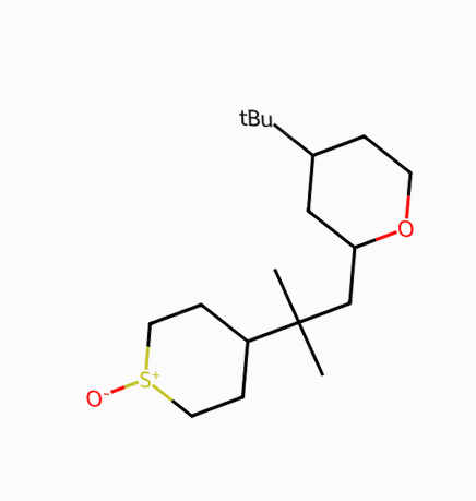 CC(C)(C)C1CCOC(CC(C)(C)C2CC[S+]([O-])CC2)C1